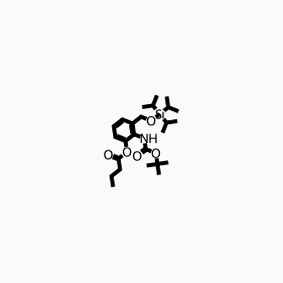 CCCC(=O)Oc1cccc(CO[Si](C(C)C)(C(C)C)C(C)C)c1NC(=O)OC(C)(C)C